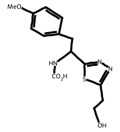 COc1ccc(CC(NC(=O)O)c2nnc(CCO)s2)cc1